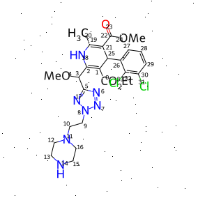 CCOC(=O)C1=C(C(OC)c2nnn(CCN3CCNCC3)n2)NC(C)=C(C(=O)OC)C1c1cccc(Cl)c1Cl